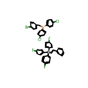 Clc1ccc([S+](Cc2ccc(Br)cc2)c2ccc(Cl)cc2)cc1.Fc1ccc([B-](C=Cc2ccccc2)(c2ccc(F)cc2)c2ccc(F)cc2)cc1